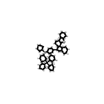 c1ccc(N(c2ccc(-c3cc4ccccc4c4c3ccc3c5ccccc5oc34)cc2)c2cccc(C3(c4ccccc4)c4ccccc4-c4ccccc43)c2)cc1